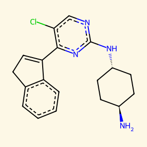 N[C@H]1CC[C@H](Nc2ncc(Cl)c(C3=CCc4ccccc43)n2)CC1